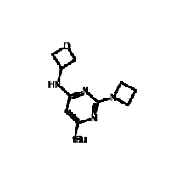 CC(C)(C)c1cc(NC2COC2)nc(N2CCC2)n1